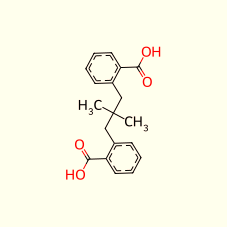 CC(C)(Cc1ccccc1C(=O)O)Cc1ccccc1C(=O)O